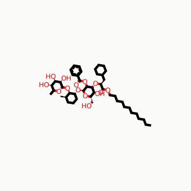 CCCCCCCCCCCCOC(=O)[C@H](CC1CCCCC1)OC1C(OC(=O)c2ccccc2)[C@H](O[C@@H]2CCC[C@@H](C)[C@H]2OC2OC(C)[C@H](O)[C@H](O)[C@@H]2O)O[C@@H](CO)[C@@H]1O